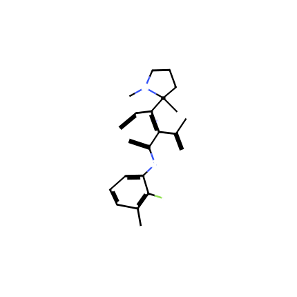 C=C/C(=C(/C(=C)C)C(=C)Nc1cccc(C)c1F)C1(C)CCCN1C